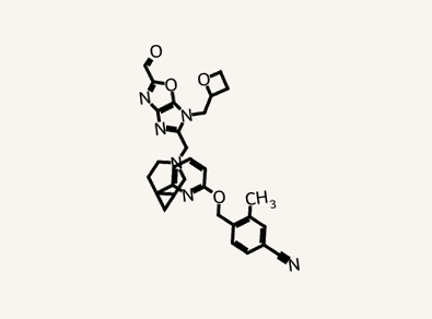 Cc1cc(C#N)ccc1COc1cccc(C23CCN(Cc4nc5nc(C=O)oc5n4CC4CCO4)CC2C3)n1